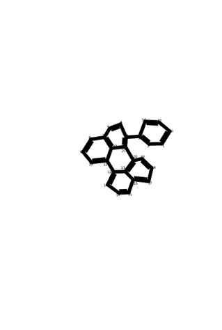 c1ccc(-c2ccc3cccc4c5cccc6cccc(c2c34)c65)cc1